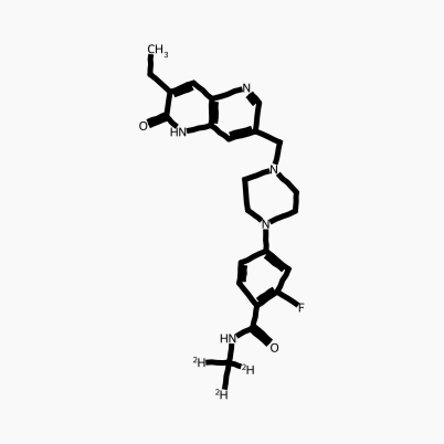 [2H]C([2H])([2H])NC(=O)c1ccc(N2CCN(Cc3cnc4cc(CC)c(=O)[nH]c4c3)CC2)cc1F